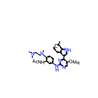 COc1cnc(Nc2ccc(N(C)CCN(C)C)c(NC(C)=O)c2)nc1-c1c[nH]c2c(C)cccc12